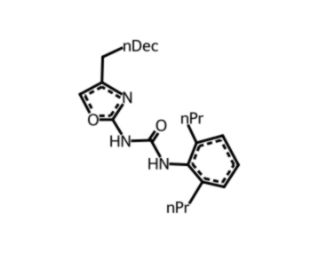 CCCCCCCCCCCc1coc(NC(=O)Nc2c(CCC)cccc2CCC)n1